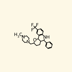 CN1CCN(CC2CCC3C(c4ccccc4)Nc4ccc(C(F)(F)F)cc4C3O2)CC1